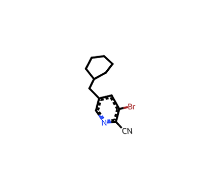 N#Cc1ncc(CC2CCCCC2)cc1Br